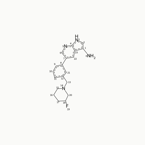 Nc1c[nH]c2ncc(-c3cccc(CN4CCCC(F)C4)c3)cc12